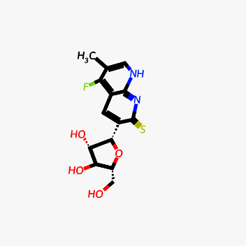 Cc1c[nH]c2nc(=S)c([C@@H]3O[C@H](CO)C(O)[C@@H]3O)cc-2c1F